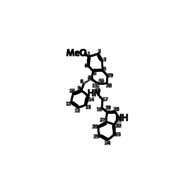 COc1ccc2c(c1)[C@@H](Cc1ccccc1)[C@@H](NCCc1c[nH]c3ccccc13)CC2